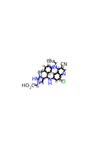 CC(C)(C)CNc1c(C#N)cnc2c(Cl)cc(NC(C3=CN(CC(=O)O)NN3)c3ccccc3Cl)cc12